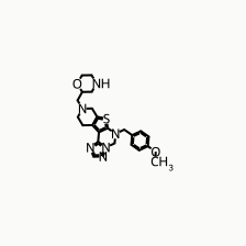 COc1ccc(CN2Cn3ncnc3-c3c2sc2c3CCN(CC3CNCCO3)C2)cc1